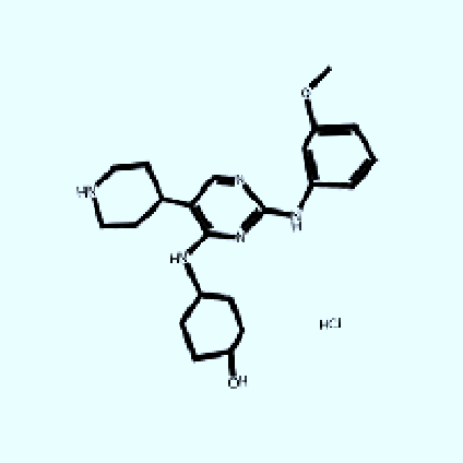 COc1cccc(Nc2ncc(C3CCNCC3)c(NC3CCC(O)CC3)n2)c1.Cl